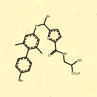 Cc1cc(OC(c2ccc(C(=O)NCC(O)C(=O)O)s2)C(C)C)cc(C)c1-c1ccc(C(C)(C)C)cc1